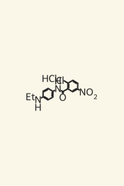 CCNc1ccc(NC(=O)c2cc([N+](=O)[O-])ccc2Cl)cc1.Cl